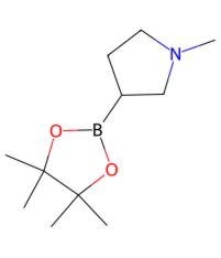 CN1CCC(B2OC(C)(C)C(C)(C)O2)C1